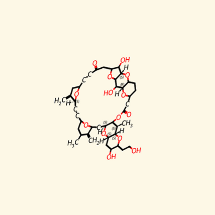 C=C1C(C)CC2CC[C@@H]3OC(CCC(=O)CC4OC5C(O)[C@H]6OC(CCC6O[C@H]5C4O)CC(=O)OC4[C@H](CC1O2)O[C@H]1CC(O)C(CCO)O[C@H]1[C@@H]4C)CC3=C